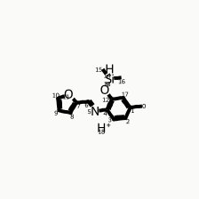 Cc1ccc(N=Cc2ccco2)c(O[SiH](C)C)c1.[H+]